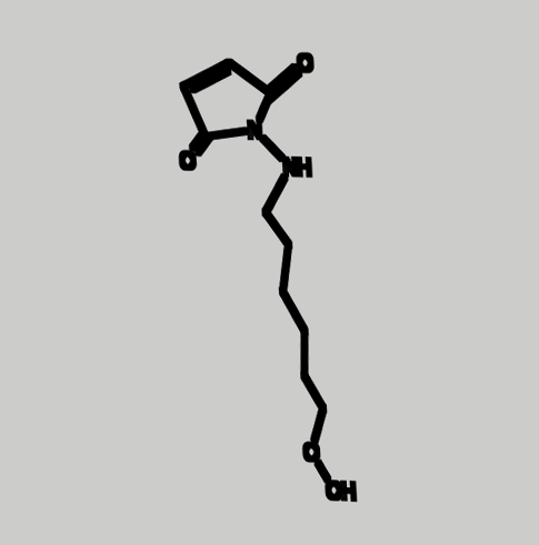 O=C1C=CC(=O)N1NCCCCCCOO